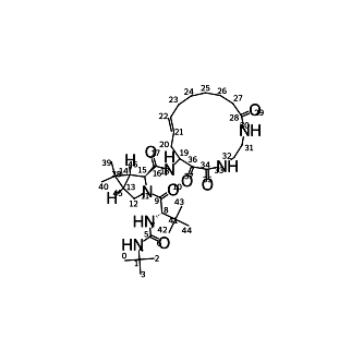 CC(C)(C)NC(=O)N[C@H](C(=O)N1C[C@H]2[C@@H]([C@H]1C(=O)NC1C/C=C/CCCCCC(=O)NCCNC(=O)C1=O)C2(C)C)C(C)(C)C